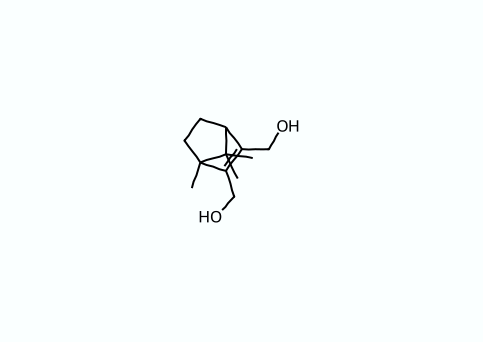 CC12CCC(C(CO)=C1CO)C2(C)C